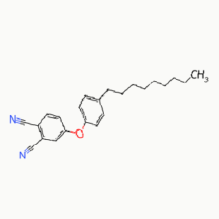 CCCCCCCCCc1ccc(Oc2ccc(C#N)c(C#N)c2)cc1